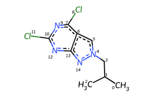 CC(C)Cn1cc2c(Cl)nc(Cl)nc2n1